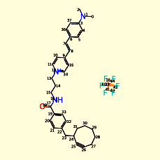 CN(C)c1ccc(/C=C/c2cc[n+](CCCNC(=O)c3ccc(CC4C#CCCCCC4)cc3)cc2)cc1.F[P-](F)(F)(F)(F)F